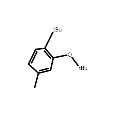 Cc1ccc(C(C)(C)C)c(OC(C)(C)C)c1